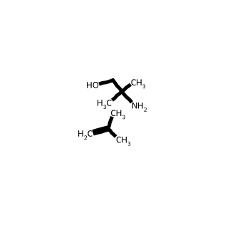 C=C(C)C.CC(C)(N)CO